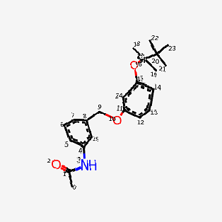 CC(=O)Nc1cccc(COc2cccc(O[Si](C)(C)C(C)(C)C)c2)c1